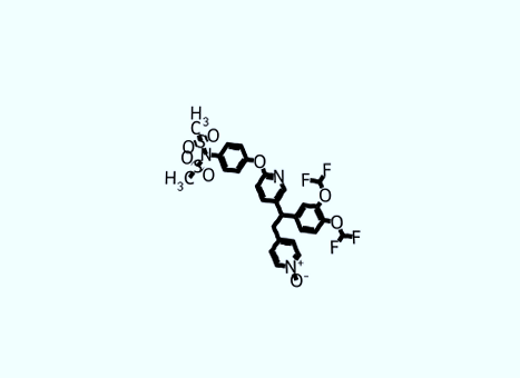 CS(=O)(=O)N(c1ccc(Oc2ccc(C(Cc3cc[n+]([O-])cc3)c3ccc(OC(F)F)c(OC(F)F)c3)cn2)cc1)S(C)(=O)=O